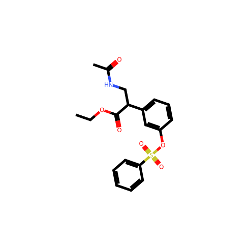 CCOC(=O)C(CNC(C)=O)c1cccc(OS(=O)(=O)c2ccccc2)c1